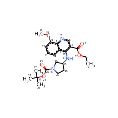 CCOC(=O)c1cnc2c(OC)cccc2c1N[C@H]1CCN(C(=O)OC(C)(C)C)C1